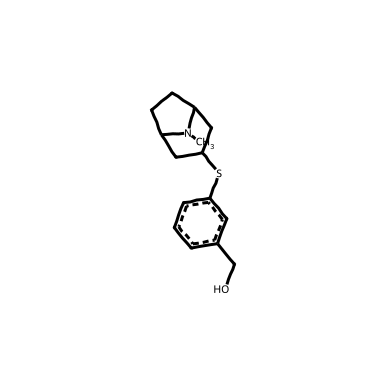 CN1C2CCC1CC(Sc1cccc(CO)c1)C2